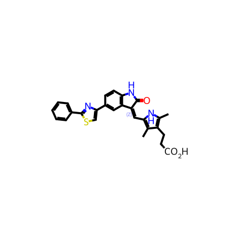 Cc1[nH]c(/C=C2\C(=O)Nc3ccc(-c4csc(-c5ccccc5)n4)cc32)c(C)c1CCC(=O)O